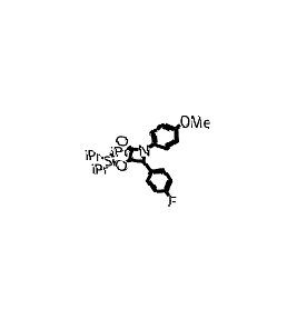 COc1ccc(N2C(=O)C(O[Si](C(C)C)(C(C)C)C(C)C)C2c2ccc(F)cc2)cc1